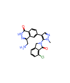 Cn1ncc(-c2ccc3c(=O)[nH]nc(CN)c3c2)c1N1Cc2cccc(Cl)c2C1=O